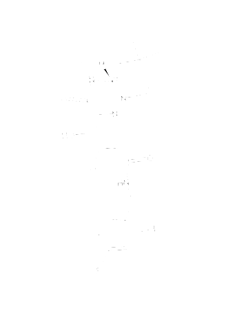 CCN1C(=O)c2c(O)c(=O)c(C(=O)NCc3ccc(F)cc3I)cn2N2CCC(C)(C)C[C@@H]12